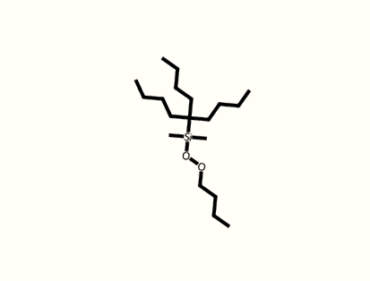 CCCCOO[Si](C)(C)C(CCCC)(CCCC)CCCC